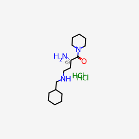 Cl.Cl.N[C@@H](CCNCC1CCCCC1)C(=O)N1CCCCC1